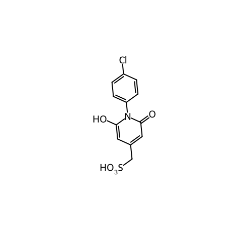 O=c1cc(CS(=O)(=O)O)cc(O)n1-c1ccc(Cl)cc1